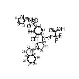 CN(c1ccc(S(=O)(=O)Nc2cscn2)c(F)c1Cl)C1CCN([C@H]2CCc3ccccc32)C1.O=C(O)C(F)(F)F